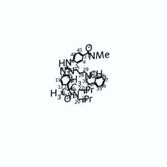 CNC(=O)c1ccc(Nc2nc3ccc(C(C)(C)C(=O)N(CC(C)C)CC(C)C)cc3n2CCCN(C)CCc2ccccc2)cc1